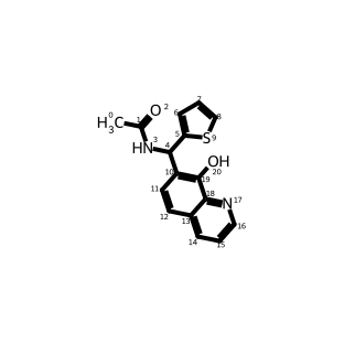 CC(=O)NC(c1cccs1)c1ccc2cccnc2c1O